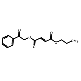 COCCOC(=O)/C=C/C(=O)OCC(=O)c1ccccc1